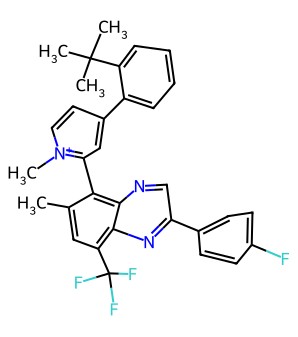 Cc1cc(C(F)(F)F)c2nc(-c3ccc(F)cc3)cnc2c1-c1cc(-c2ccccc2C(C)(C)C)cc[n+]1C